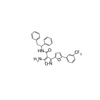 Nc1onc(-c2ccc(-c3cccc(C(F)(F)F)c3)o2)c1C(=O)NC(Cc1ccccc1)c1ccccc1